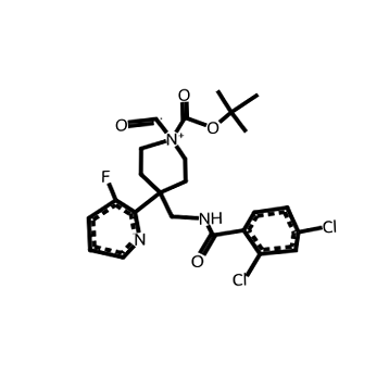 CC(C)(C)OC(=O)[N+]1([C]=O)CCC(CNC(=O)c2ccc(Cl)cc2Cl)(c2ncccc2F)CC1